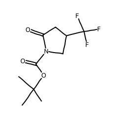 CC(C)(C)OC(=O)N1CC(C(F)(F)F)CC1=O